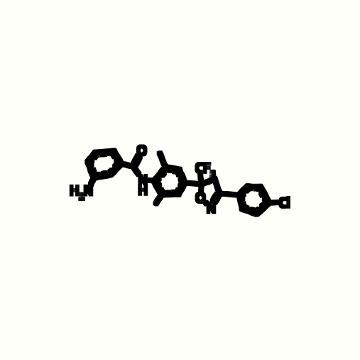 Cc1cc(C2(C(F)(F)F)CC(c3ccc(Cl)cc3)=NO2)cc(C)c1NC(=O)c1cccc(N)c1